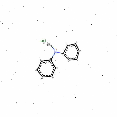 CCN(c1ccccc1)c1ccccc1.Cl